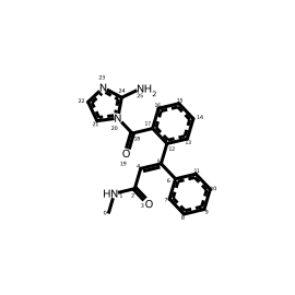 CNC(=O)/C=C(\c1ccccc1)c1ccccc1C(=O)n1ccnc1N